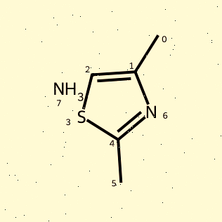 Cc1csc(C)n1.N